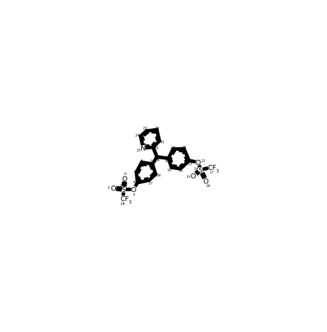 O=S(=O)(Oc1ccc(C(c2ccc(OS(=O)(=O)C(F)(F)F)cc2)c2ccccn2)cc1)C(F)(F)F